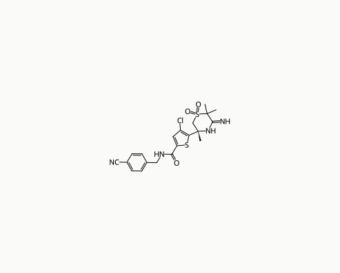 CC1(C)C(=N)N[C@](C)(c2sc(C(=O)NCc3ccc(C#N)cc3)cc2Cl)CS1(=O)=O